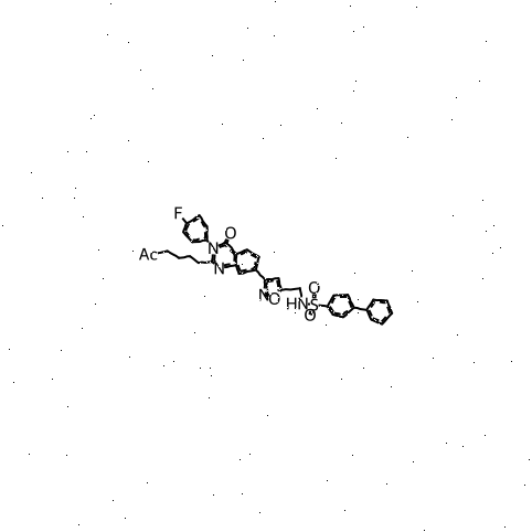 CC(=O)CCCCc1nc2cc(-c3cc(CNS(=O)(=O)c4ccc(-c5ccccc5)cc4)on3)ccc2c(=O)n1-c1ccc(F)cc1